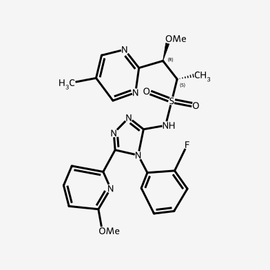 COc1cccc(-c2nnc(NS(=O)(=O)[C@@H](C)[C@H](OC)c3ncc(C)cn3)n2-c2ccccc2F)n1